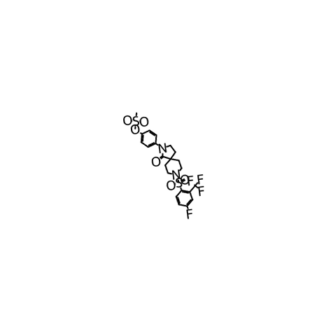 CS(=O)(=O)Oc1ccc(N2CCC3(CCN(S(=O)(=O)c4ccc(F)cc4C(F)(F)F)CC3)C2=O)cc1